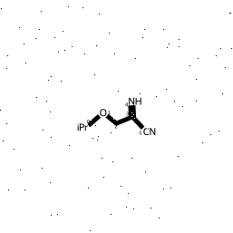 CC(C)OCC(=N)C#N